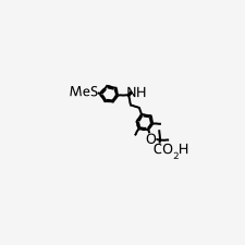 CSc1ccc(C(=N)CCc2cc(C)c(OC(C)(C)C(=O)O)c(C)c2)cc1